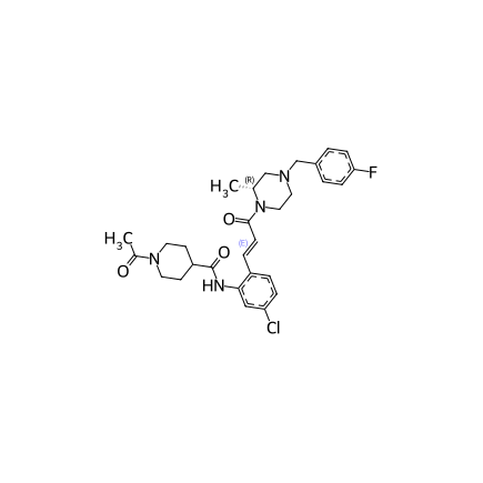 CC(=O)N1CCC(C(=O)Nc2cc(Cl)ccc2/C=C/C(=O)N2CCN(Cc3ccc(F)cc3)C[C@H]2C)CC1